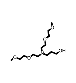 COCCOCCN(CCCO)CCOCCOC